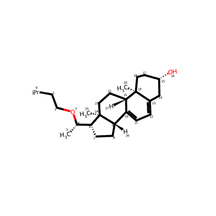 CC(C)CCO[C@@H](C)[C@H]1CC[C@H]2C3=CC=C4C[C@@H](O)CC[C@]4(C)[C@H]3CC[C@]12C